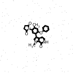 Cc1cc(Oc2ccccc2)c(-c2cn(C)c3c(=O)[nH]ccc23)cc1N1C(=O)CCC1=O